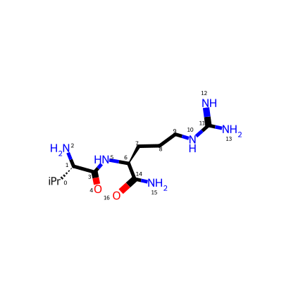 CC(C)[C@H](N)C(=O)N[C@@H](CCCNC(=N)N)C(N)=O